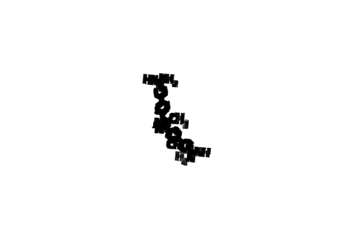 Cc1cc(-n2nnc(-c3ccc(C4=CCN(C(=N)N)CC4)cc3)c2C)ccc1C1=CCN(C(=N)N)CC1